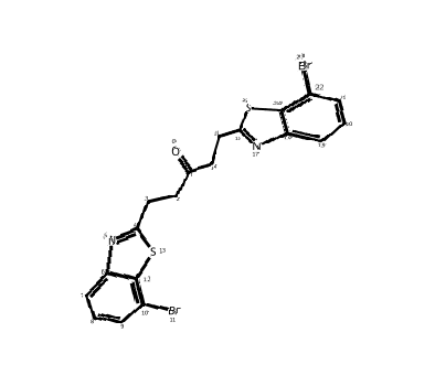 O=C(CCc1nc2cccc(Br)c2s1)CCc1nc2cccc(Br)c2s1